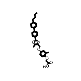 CCCCc1ccc(-c2ccc(-c3nc(COc4ccc(OCC(=O)O)c(C)c4)c(C)o3)cc2)cc1